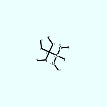 CCC(CC)(CC)[Si](C)(OC)OC